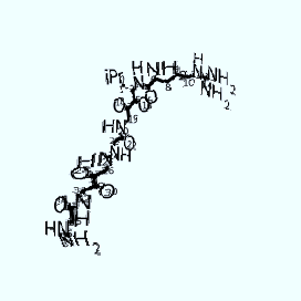 CC(C)C[C@H](NC(=O)[C@@H](N)CCCNC(N)N)C(=O)C(=O)CNC(=O)CNNCC(=O)C(=O)CNC(=O)CNN